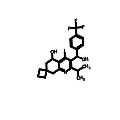 CC(C)c1nc2c(c(I)c1[C@H](O)c1ccc(C(F)(F)F)cc1)C(O)CC1(CCC1)C2